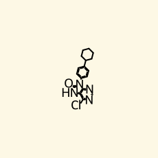 O=c1[nH]c2c(Cl)ncnc2n1-c1ccc(C2CCCCC2)cc1